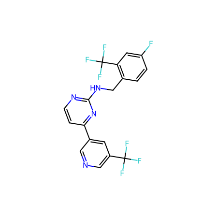 Fc1ccc(CNc2nccc(-c3cncc(C(F)(F)F)c3)n2)c(C(F)(F)F)c1